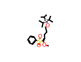 CO/C(=C/CCCO[Si](C(C)C)(C(C)C)C(C)C)S(=O)(=O)c1ccccc1